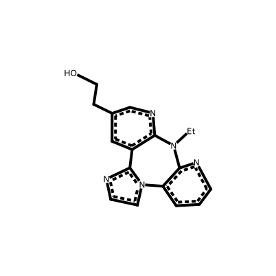 CCN1c2ncc(CCO)cc2-c2nccn2-c2cccnc21